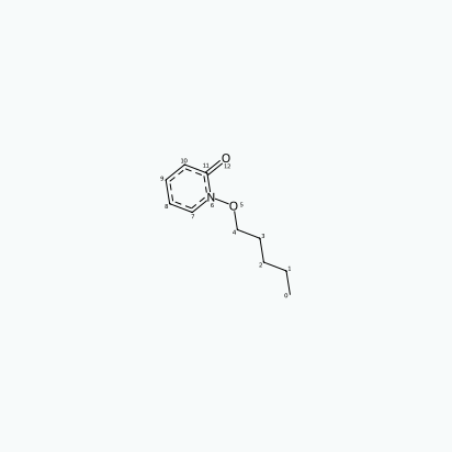 CCCCCOn1ccccc1=O